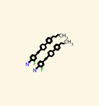 CCCCc1ccc(C2CC=C(C#Cc3ccc(C#N)c(F)c3)CC2)cc1.CCCc1ccc(C2CC=C(C#Cc3ccc(C#N)c(F)c3)CC2)cc1